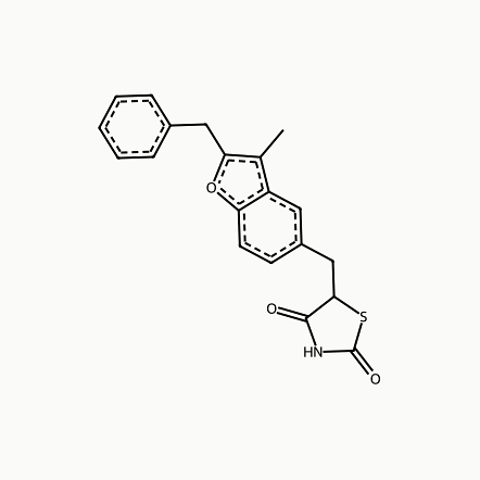 Cc1c(Cc2ccccc2)oc2ccc(CC3SC(=O)NC3=O)cc12